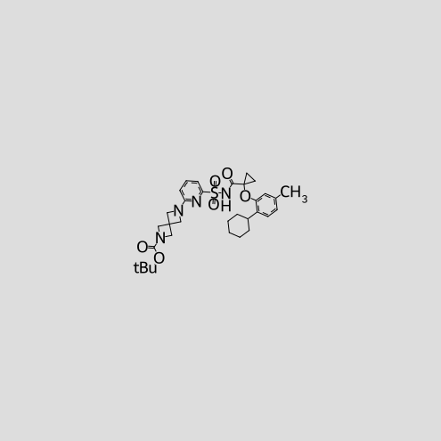 Cc1ccc(C2CCCCC2)c(OC2(C(=O)NS(=O)(=O)c3cccc(N4CC5(CN(C(=O)OC(C)(C)C)C5)C4)n3)CC2)c1